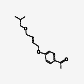 CC(=O)c1ccc(OCC=CCOCC(C)C)cc1